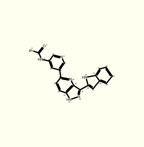 CC(C)C(=O)Nc1cncc(-c2ccc3[nH]nc(-c4cc5ccccc5[nH]4)c3n2)c1